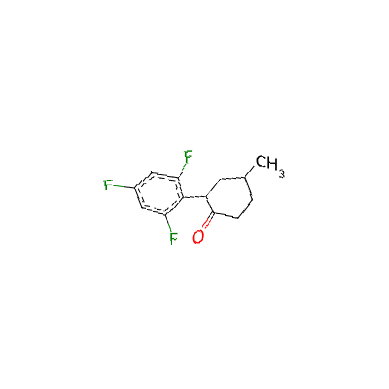 CC1CCC(=O)C(c2c(F)cc(F)cc2F)C1